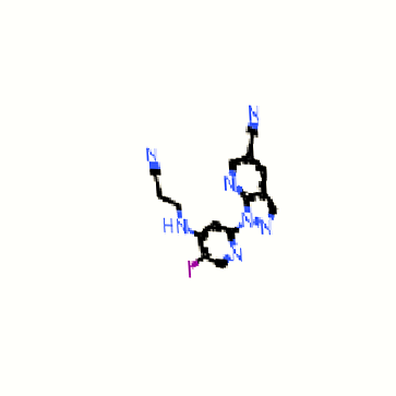 N#CCCNc1cc(-n2ncc3cc(C#N)cnc32)ncc1I